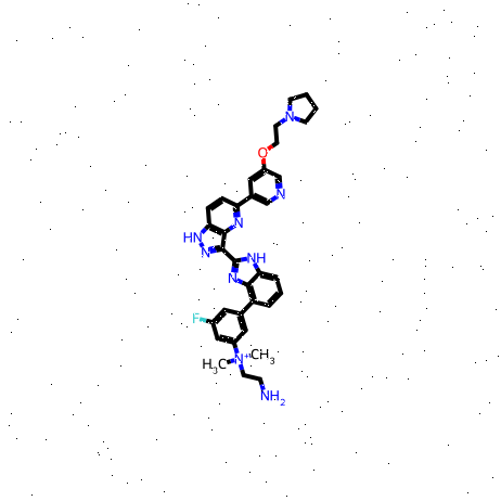 C[N+](C)(CCN)c1cc(F)cc(-c2cccc3[nH]c(-c4n[nH]c5ccc(-c6cncc(OCCN7CCCC7)c6)nc45)nc23)c1